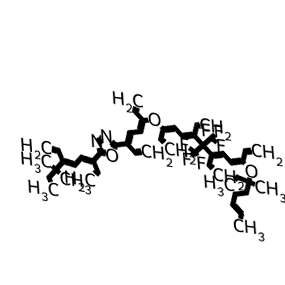 C=C/C(=C\C=C(/C=C)c1nnc(/C(C=C)=C/C=C(\C=C)C(C)(C)CC)o1)O/C(C=C)=C/C=C(\C=C)C(/C(C=C)=C/C=C(\C=C)OC(C)(CC)CC/C=C/C)(C(F)(F)F)C(F)(F)F